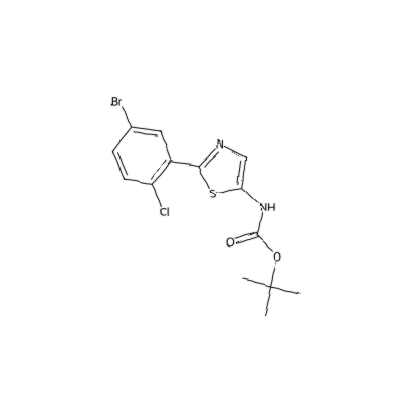 CC(C)(C)OC(=O)Nc1cnc(-c2cc(Br)ccc2Cl)s1